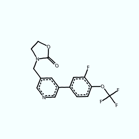 O=C1OCCN1Cc1cncc(-c2ccc(OC(F)(F)F)c(F)c2)c1